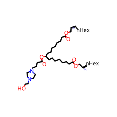 CCCCCC/C=C\COC(=O)CCCCCCCC(CCCCCCCC(=O)OC/C=C\CCCCCC)OC(=O)CCCN1CCN(CCO)CC1